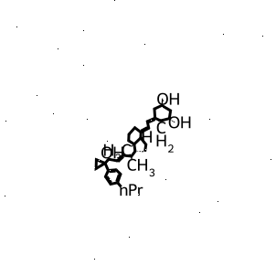 C=C1/C(=C\C=C2/CCC[C@]3(C)[C@@H]([C@H](C)/C=C/[C@H](O)C4(c5ccc(CCC)cc5)CC4)CC[C@@H]23)C[C@@H](O)C[C@@H]1O